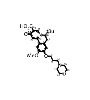 COc1cc2c(cc1OCCCN1CCOCC1)C[C@@H](C(C)(C)C)n1cc(C(=O)O)c(=O)cc1-2